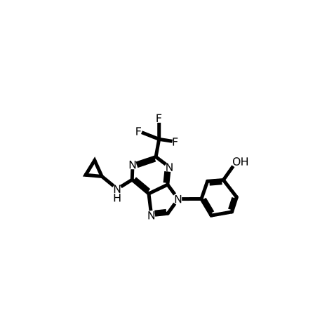 Oc1cccc(-n2cnc3c(NC4CC4)nc(C(F)(F)F)nc32)c1